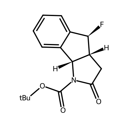 CC(C)(C)OC(=O)N1C(=O)C[C@H]2[C@H](F)c3ccccc3[C@H]21